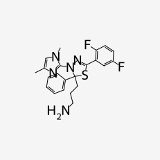 Cc1cn(C)c(N2N=C(c3cc(F)ccc3F)SC2(CCCN)c2ccccc2)n1